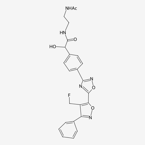 CC(=O)NCCNC(=O)C(O)c1ccc(-c2noc(-c3onc(-c4ccccc4)c3CF)n2)cc1